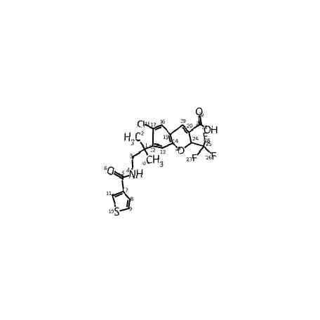 CC(C)(CNC(=O)c1ccsc1)c1cc2c(cc1Cl)C=C(C(=O)O)C(C(F)(F)F)O2